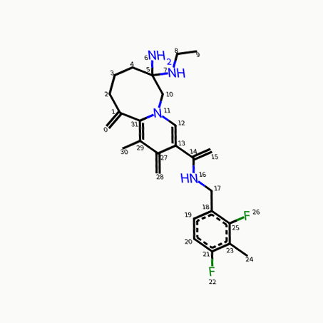 C=C1CCCC(N)(NCC)CN2C=C(C(=C)NCc3ccc(F)c(C)c3F)C(=C)C(C)=C12